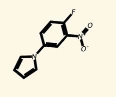 O=[N+]([O-])c1cc(-n2cccc2)ccc1F